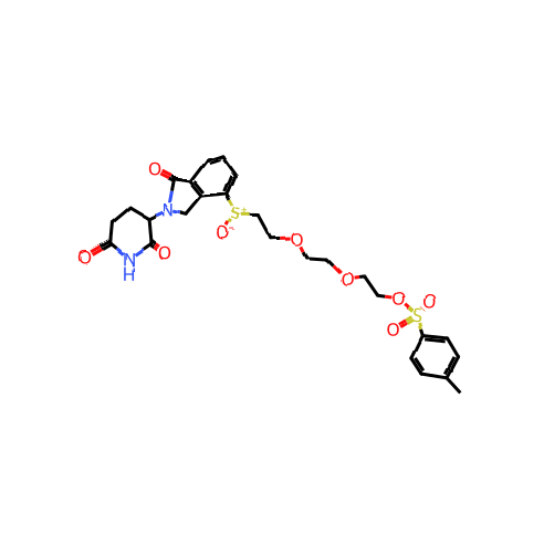 Cc1ccc(S(=O)(=O)OCCOCCOCC[S+]([O-])c2cccc3c2CN(C2CCC(=O)NC2=O)C3=O)cc1